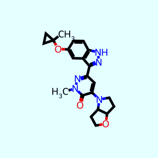 Cn1nc(-c2n[nH]c3ccc(OC4(C)CC4)cc23)cc(N2CCC3OCCC32)c1=O